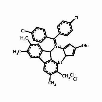 CCC1C=C(C(C)(C)C)C=[C]1[Zr+2](=[C](c1ccc(Cl)cc1)c1ccc(Cl)cc1)[CH]1c2cc(C)c(C)cc2-c2cc(C)c(C)cc21.[Cl-].[Cl-]